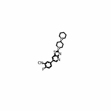 [C-]#[N+]c1cc(-c2cnc3nc(N4CCC(N5CCCCC5)CC4)sc3c2)ccc1F